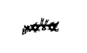 CCC(C)(C)Sc1ccc(NC(=O)Nc2ccc(Cl)c(C)c2)cc1